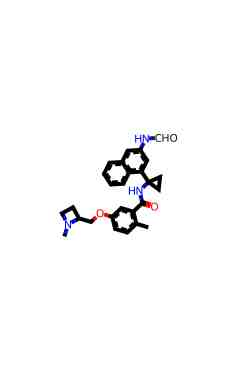 Cc1ccc(OCC2CCN2C)cc1C(=O)NC1(c2cc(NC=O)cc3ccccc23)CC1